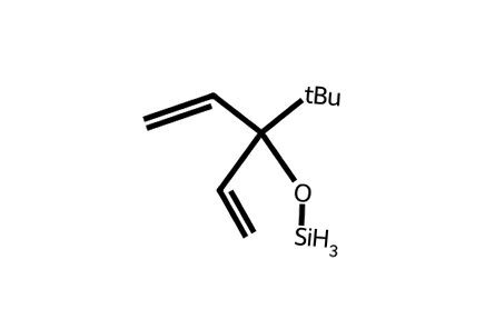 C=CC(C=C)(O[SiH3])C(C)(C)C